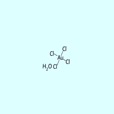 O.[Cl][Au]([Cl])([Cl])[Cl]